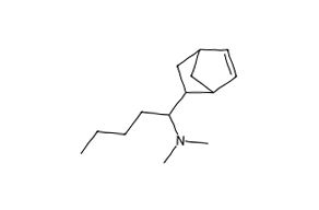 CCCCC(C1CC2C=CC1C2)N(C)C